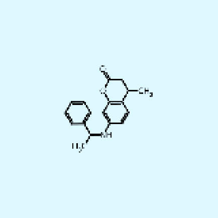 CC1CC(=O)Oc2cc(NC(C)c3ccccc3)ccc21